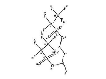 CC(CCOS(=O)(=O)C(F)(F)C(F)(F)F)OS(=O)(=O)C(F)(F)C(F)(F)F